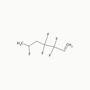 C=CC(F)(F)C(F)(F)CC(C)F